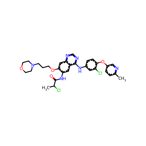 Cc1ccc(Oc2ccc(Nc3ncnc4cc(OCCCN5CCOCC5)c(NC(=O)C(C)Cl)cc34)cc2Cl)cn1